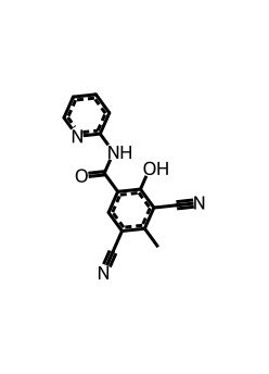 Cc1c(C#N)cc(C(=O)Nc2ccccn2)c(O)c1C#N